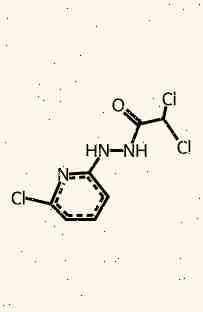 O=C(NNc1cccc(Cl)n1)C(Cl)Cl